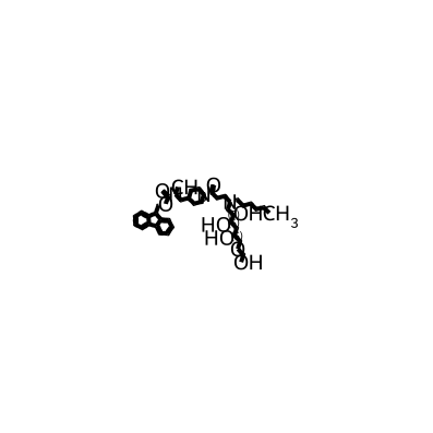 CCCCCCN(CCC(=O)N1CCC(CN(C)C(=O)OCC2c3ccccc3-c3ccccc32)CC1)C[C@@H](O)[C@@H](O)C[C@H](O)COCO